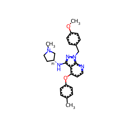 COc1ccc(Cn2nc(N[C@@H]3CCN(C)C3)c3c(Oc4ccc(C)cc4)ccnc32)cc1